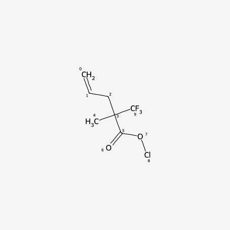 C=CCC(C)(C(=O)OCl)C(F)(F)F